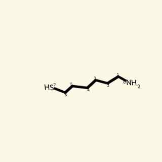 NCCCCCCS